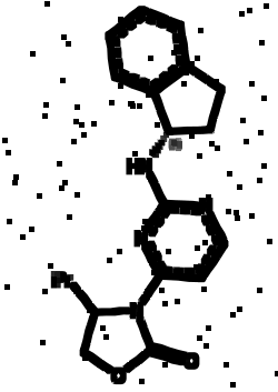 CC(C)C1COC(=O)N1c1ccnc(N[C@H]2CCc3ccccc32)n1